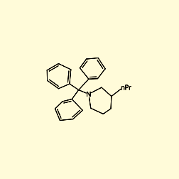 [CH2]CCC1CCCN(C(c2ccccc2)(c2ccccc2)c2ccccc2)C1